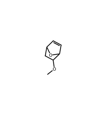 COC1CC2C=CC1O2